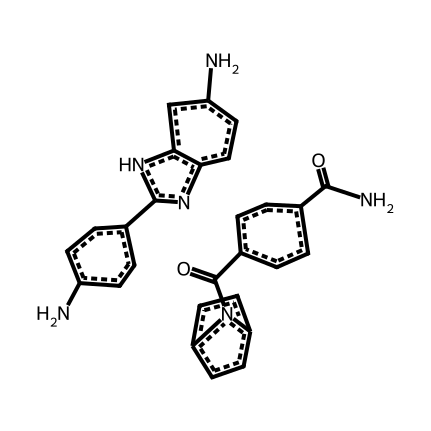 NC(=O)c1ccc(C(=O)n2c3ccc2cc3)cc1.Nc1ccc(-c2nc3ccc(N)cc3[nH]2)cc1